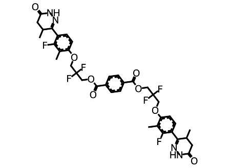 Cc1c(OCC(F)(F)COC(=O)c2ccc(C(=O)OCC(F)(F)COc3ccc(C4=NNC(=O)CC4C)c(F)c3C)cc2)ccc(C2=NNC(=O)CC2C)c1F